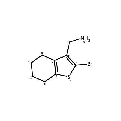 NCc1c(Br)sc2c1CCCC2